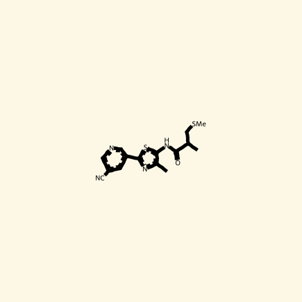 CSCC(C)C(=O)Nc1sc(-c2cncc(C#N)c2)nc1C